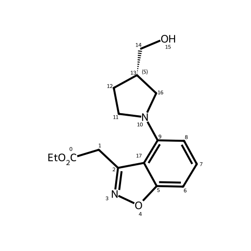 CCOC(=O)Cc1noc2cccc(N3CC[C@H](CO)C3)c12